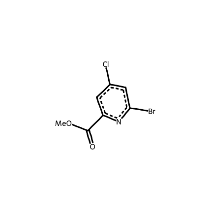 COC(=O)c1cc(Cl)cc(Br)n1